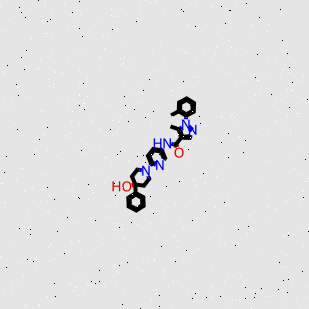 Cc1ccccc1-n1ncc(C(=O)Nc2ccc(N3CCC(O)(c4ccccc4)CC3)nc2)c1C